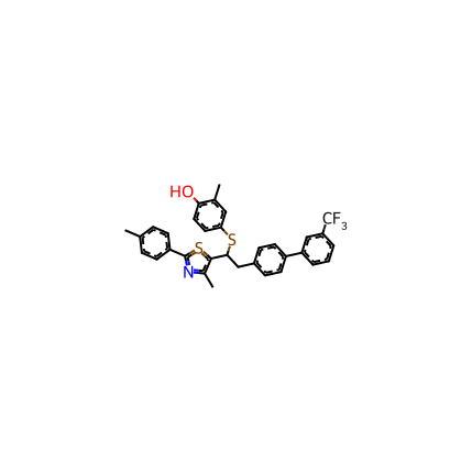 Cc1ccc(-c2nc(C)c(C(Cc3ccc(-c4cccc(C(F)(F)F)c4)cc3)Sc3ccc(O)c(C)c3)s2)cc1